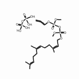 C=C=COP(=O)(OC)OP(=O)(OC)OCC=C(C)CCC=C(C)CCC=C(C)C.O=P(O)(O)OP(=O)(O)O